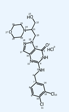 Cl.O=c1[nH]c(NCc2ccc(Cl)c(Cl)c2)nc2cnn(CC(CO)N3CCOCC3)c12